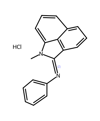 CN1/C(=N\c2ccccc2)c2cccc3cccc1c23.Cl